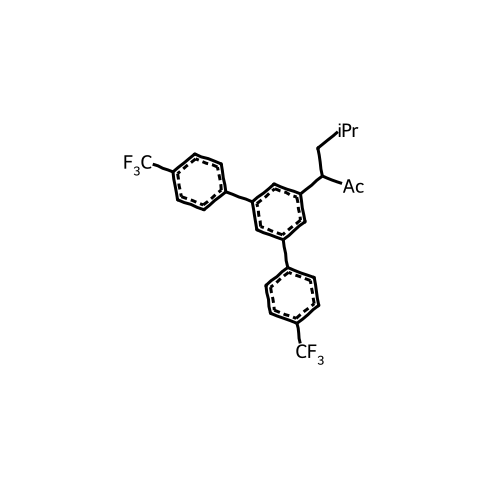 CC(=O)C(CC(C)C)c1cc(-c2ccc(C(F)(F)F)cc2)cc(-c2ccc(C(F)(F)F)cc2)c1